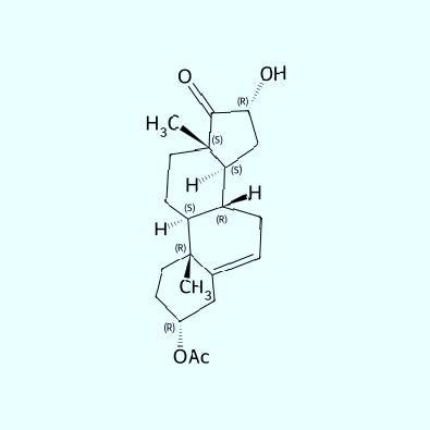 CC(=O)O[C@@H]1CC[C@@]2(C)C(=CC[C@@H]3[C@@H]2CC[C@]2(C)C(=O)[C@H](O)C[C@@H]32)C1